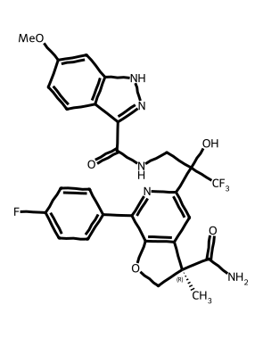 COc1ccc2c(C(=O)NCC(O)(c3cc4c(c(-c5ccc(F)cc5)n3)OC[C@]4(C)C(N)=O)C(F)(F)F)n[nH]c2c1